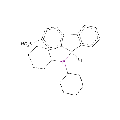 CC[C@@]1(P(C2CCCCC2)C2CCCCC2)c2ccccc2-c2ccc(S(=O)(=O)O)cc21